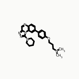 CN(C)CCCOc1ccc(-c2ccc3ncc4nnc(N5CCCCC5)n4c3c2)cc1